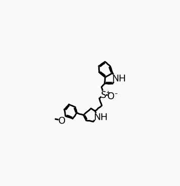 COc1cccc(C2=CCNC(CC[S+]([O-])Cc3c[nH]c4ccccc34)C2)c1